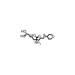 CN(CCCC(N)(CCCCB(O)O)C(=O)O)C1CCOCC1